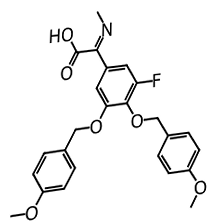 C/N=C(\C(=O)O)c1cc(F)c(OCc2ccc(OC)cc2)c(OCc2ccc(OC)cc2)c1